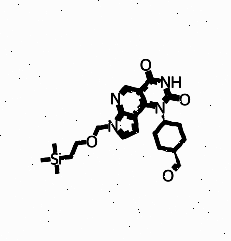 C[Si](C)(C)CCOCn1ccc2c1ncc1c(=O)[nH]c(=O)n([C@H]3CC[C@H](C=O)CC3)c12